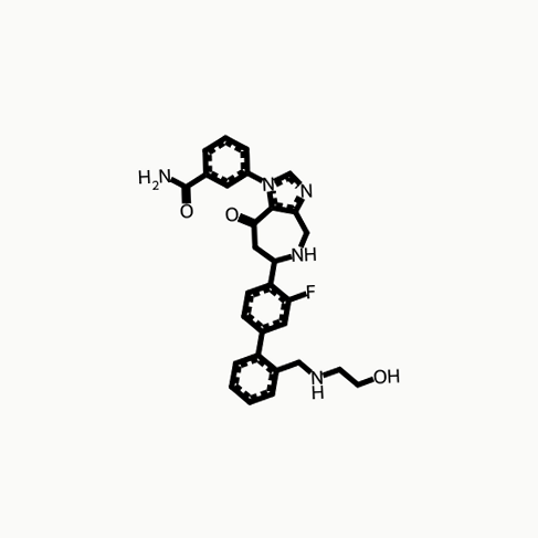 NC(=O)c1cccc(-n2cnc3c2C(=O)CC(c2ccc(-c4ccccc4CNCCO)cc2F)NC3)c1